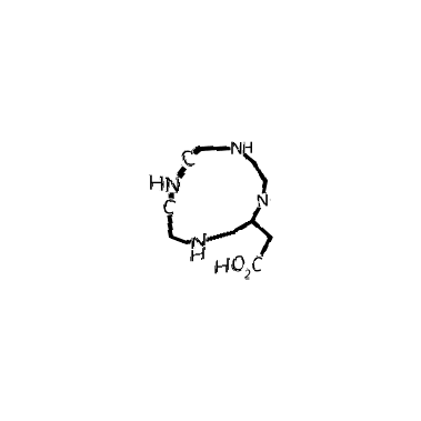 O=C(O)CC1CNCCNCCNCC[N]1